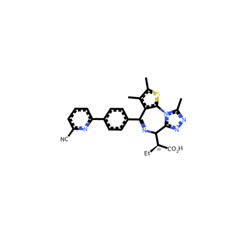 CC[C@H](C(=O)O)C1N=C(c2ccc(-c3cccc(C#N)n3)cc2)c2c(sc(C)c2C)-n2c(C)nnc21